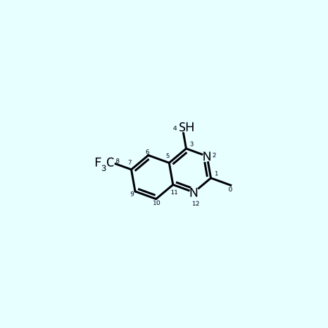 Cc1nc(S)c2cc(C(F)(F)F)ccc2n1